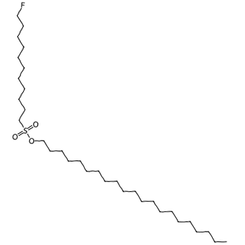 CCCCCCCCCCCCCCCCCCCCCOS(=O)(=O)CCCCCCCCCCCF